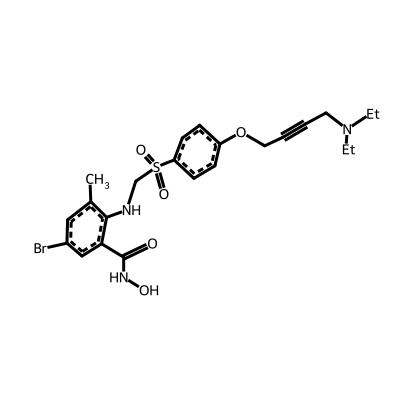 CCN(CC)CC#CCOc1ccc(S(=O)(=O)CNc2c(C)cc(Br)cc2C(=O)NO)cc1